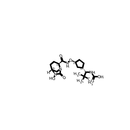 CC(C)(C)C(NC(=O)O)[C@H]1CC[C@H](ONC(=O)[C@@H]2CC[C@@H]3CN2C(=O)N3O)C1